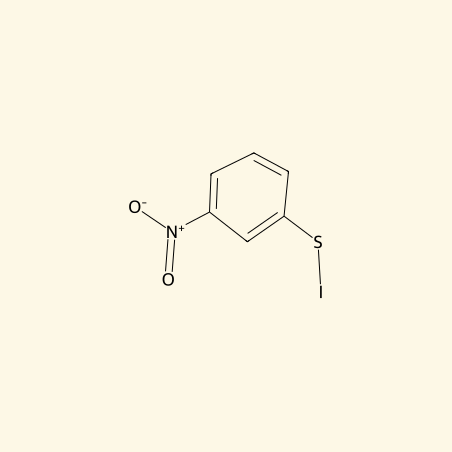 O=[N+]([O-])c1cccc(SI)c1